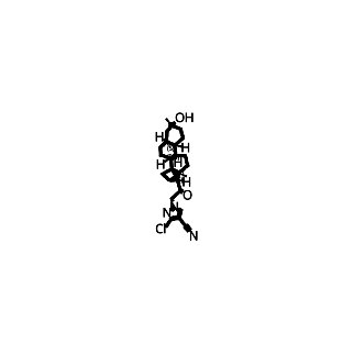 C[C@@]1(O)CC[C@H]2[C@H](CC[C@@H]3[C@@H]2CC[C@]2(C)[C@@H](C(=O)Cn4cc(C#N)c(Cl)n4)C4CC32C4)C1